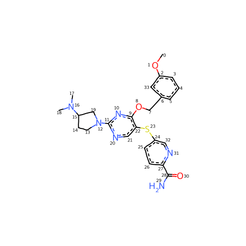 COc1cccc(COc2nc(N3CCC(N(C)C)C3)ncc2Sc2ccc(C(N)=O)nc2)c1